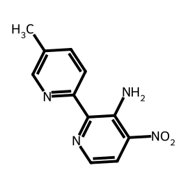 Cc1ccc(-c2nccc([N+](=O)[O-])c2N)nc1